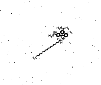 CCCCCCCCCCCCCCCCCC(=O)NC1=Nc2ccc(C)cc2C(c2ccc(N(C)C)cc2)(c2ccc(N(C)C)cc2)S1